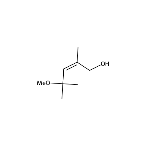 COC(C)(C)C=C(C)CO